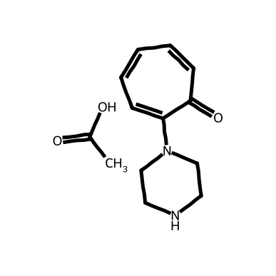 CC(=O)O.O=c1cccccc1N1CCNCC1